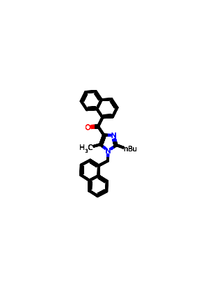 CCCCc1nc(C(=O)c2cccc3ccccc23)c(C)n1Cc1cccc2ccccc12